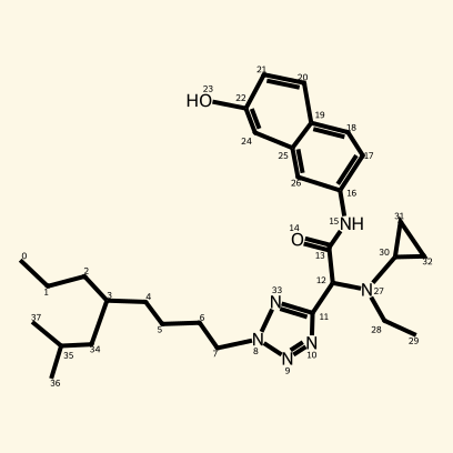 CCCC(CCCCn1nnc(C(C(=O)Nc2ccc3ccc(O)cc3c2)N(CC)C2CC2)n1)CC(C)C